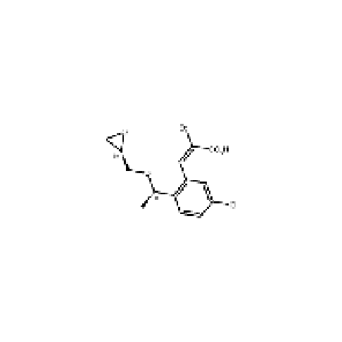 CCC(=Cc1cc(Cl)ccc1[C@@H](C)OC[C@H]1CO1)C(=O)O